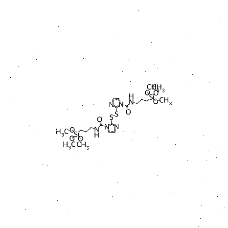 CO[Si](CCCNC(=O)n1ccnc1SSc1nccn1C(=O)NCCC[Si](OC)(OC)OC)(OC)OC